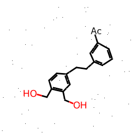 CC(=O)c1cccc(CCc2ccc(CO)c(CO)c2)c1